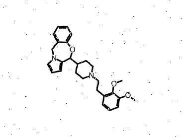 COc1cccc(CCN2CCC(C3Oc4ccccc4Cn4cccc43)CC2)c1OC